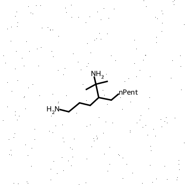 CCCCCCC(CCCN)C(C)(C)N